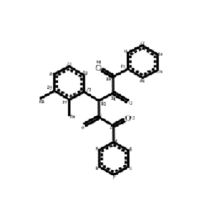 C=C(C(=O)c1ccccc1)C(C(=C)C(=O)c1ccccc1)c1cccc(C)c1C